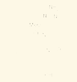 COc1nc(N)ncc1-c1cc2c(n1C(C)C)C(c1ccc(Cl)cc1)N(C1CCC(O)CC1)C2=O